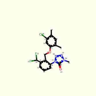 Cc1cc(C)c(OCc2c(C(F)F)cccc2-n2nnn(C)c2=O)cc1Cl